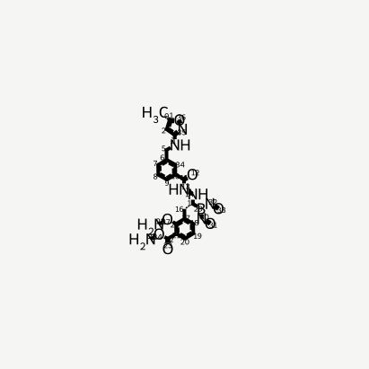 Cc1cc(NCc2cccc(C(=O)NN[C@@H](Cc3cccc(C(=O)ON)c3ON)B(N=O)N=O)c2)no1